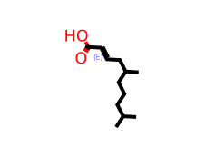 CC(C)CCCC(C)C/C=C/C(=O)O